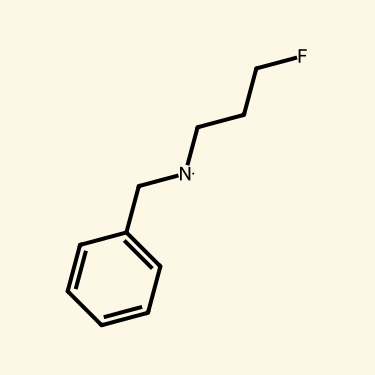 FCCC[N]Cc1ccccc1